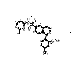 COc1cc(C(F)(F)F)ccc1-c1nccc2cc(S(=O)(=O)Nc3ccnc(C)n3)ccc12